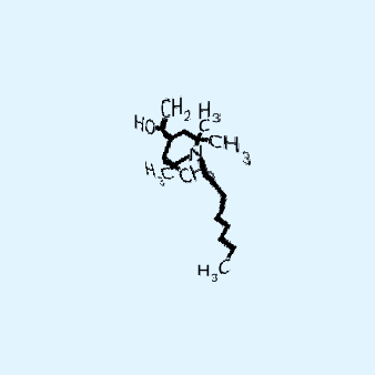 C=C(O)C1CC(C)(C)N(CCCCCCCC)C(C)(C)C1